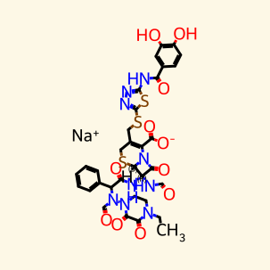 CCN1CCN(N(C=O)C(C(=O)N[C@]2(NC=O)C(=O)N3C(C(=O)[O-])=C(CSc4nnc(NC(=O)c5ccc(O)c(O)c5)s4)CS[C@H]32)c2ccccc2)C(=O)C1=O.[Na+]